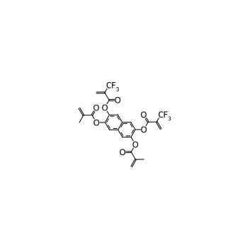 C=C(C)C(=O)Oc1cc2cc(OC(=O)C(=C)C)c(OC(=O)C(=C)C(F)(F)F)cc2cc1OC(=O)C(=C)C(F)(F)F